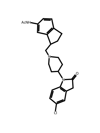 CC(=O)Nc1ccc2c(c1)C(CN1CCC(N3C(=O)Cc4cc(Cl)ccc43)CC1)CC2